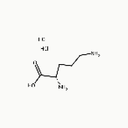 Cl.Cl.NCCC[C@H](N)C(=O)O